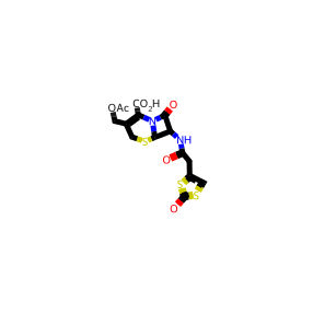 CC(=O)OCC1=C(C(=O)O)N2C(=O)C(NC(=O)Cc3csc(=O)s3)C2SC1